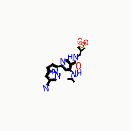 CC(C)Nc1cc(-c2ccc3cc(C#N)cnn23)ncc1C(=O)NCC1CS(=O)(=O)C1